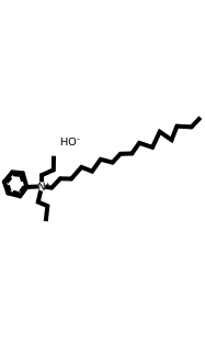 CCCCCCCCCCCCCCCC[N+](CCC)(CCC)c1ccccc1.[OH-]